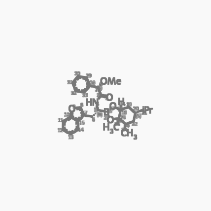 CO[C@H](C(=O)N[C@@H](Cc1coc2ccccc12)B1O[C@@H]2C[C@@H](C(C)C)C[C@@H](C)[C@]2(C)O1)c1ccccc1